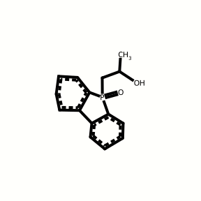 CC(O)CP1(=O)c2ccccc2-c2ccccc21